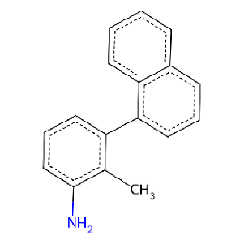 Cc1c(N)cccc1-c1cccc2ccccc12